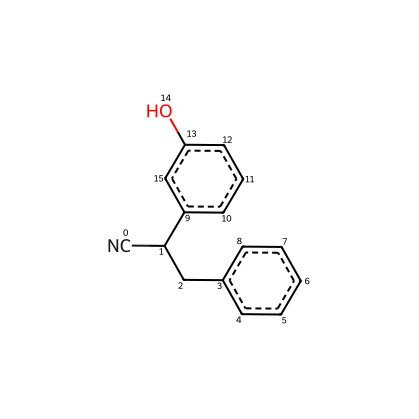 N#CC(Cc1ccccc1)c1cccc(O)c1